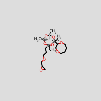 C[SiH]1O[SiH](C)O[Si](C)(C2COCCCCO2)O[Si](C)(CCCOCC2CO2)O1